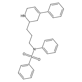 O=S(=O)(c1ccccc1)N(CCCC1CC(c2ccccc2)=CCN1)c1ccccc1